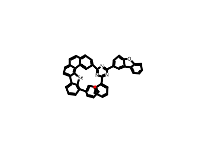 c1ccc(-c2nc(-c3ccc4oc5ccccc5c4c3)nc(-c3ccc4ccc5ccc6c7cccc(-c8ccccc8)c7[se]c6c5c4c3)n2)cc1